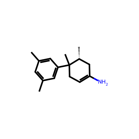 Cc1cc(C)cc(C2(C)CC=C(N)C[C@H]2C)c1